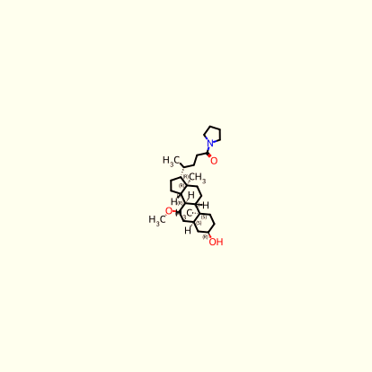 CO[C@@H]1C[C@@H]2C[C@H](O)CC[C@]2(C)[C@H]2CC[C@]3(C)[C@@H](C(C)CCC(=O)N4CCCC4)CC[C@H]3[C@H]12